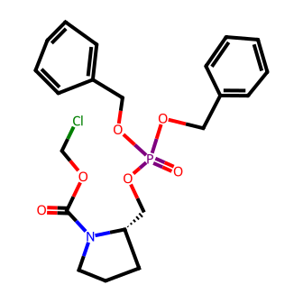 O=C(OCCl)N1CCC[C@H]1COP(=O)(OCc1ccccc1)OCc1ccccc1